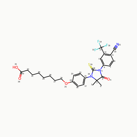 CC1(C)C(=O)N(c2ccc(C#N)c(C(F)(F)F)c2)C(=S)N1c1ccc(OCCCCCCCC(=O)O)cc1